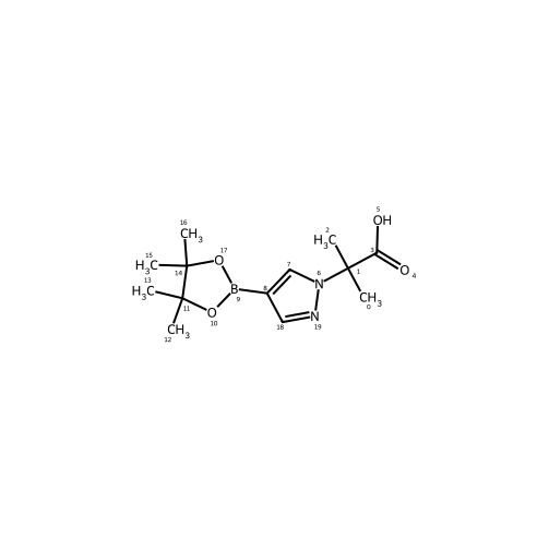 CC(C)(C(=O)O)n1cc(B2OC(C)(C)C(C)(C)O2)cn1